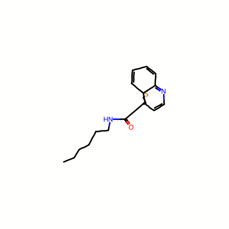 CCCCCCNC(=O)C1=C2C=CN=C3C=CC=CC32SC1